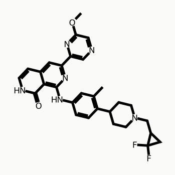 COc1cncc(-c2cc3cc[nH]c(=O)c3c(Nc3ccc(C4CCN(CC5CC5(F)F)CC4)c(C)c3)n2)n1